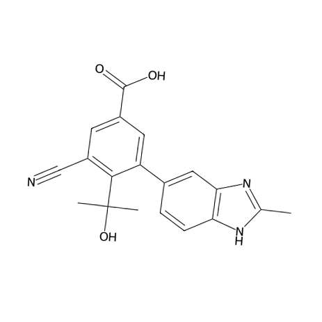 Cc1nc2cc(-c3cc(C(=O)O)cc(C#N)c3C(C)(C)O)ccc2[nH]1